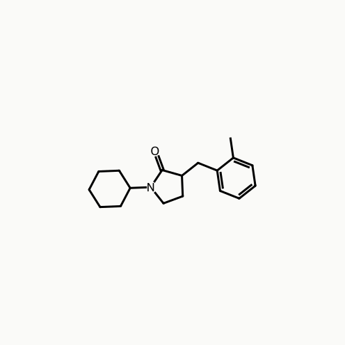 Cc1ccccc1CC1CCN(C2CCCCC2)C1=O